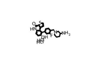 Cl.Cl.NC1CCCN(Cc2ccc(-c3c(O)ccc4[nH]c(=O)c5sccc5c34)cc2F)C1